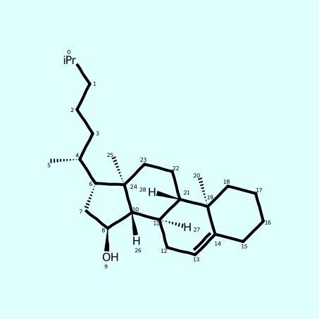 CC(C)CCC[C@@H](C)[C@H]1C[C@H](O)[C@H]2[C@@H]3CC=C4CCCC[C@]4(C)[C@H]3CC[C@@]21C